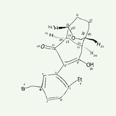 CCc1ccc(Br)cc1C1=C(O)[C@H]2[C@@H](C1=O)[C@@H]1CC[C@H]2O1